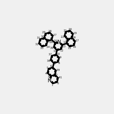 c1cnc2ccc(-c3ccc(-c4cc(-c5cccc6ccccc56)nc(-c5cccc6ccccc56)c4)cc3)cc2c1